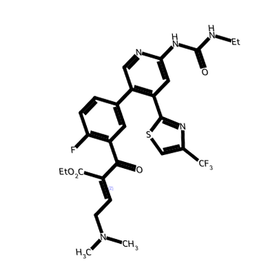 CCNC(=O)Nc1cc(-c2nc(C(F)(F)F)cs2)c(-c2ccc(F)c(C(=O)/C(=C/CN(C)C)C(=O)OCC)c2)cn1